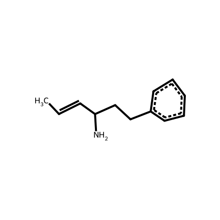 CC=CC(N)CCc1ccccc1